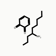 CCCCCC(N)CCC.O=C1C=CC=CC1=O